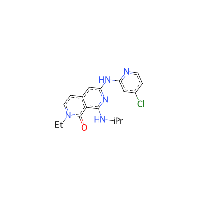 CCn1ccc2cc(Nc3cc(Cl)ccn3)nc(NC(C)C)c2c1=O